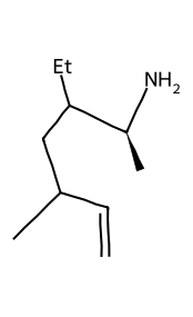 C=CC(C)CC(CC)[C@H](C)N